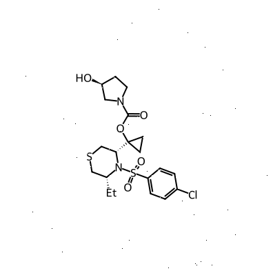 CC[C@@H]1CSC[C@H](C2(OC(=O)N3CC[C@H](O)C3)CC2)N1S(=O)(=O)c1ccc(Cl)cc1